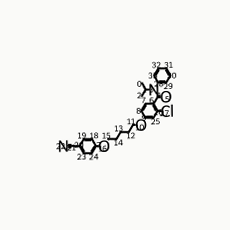 CC(C)N(C(=O)c1ccc(OCCCCCOc2ccc(C#N)cc2)cc1Cl)c1ccccc1